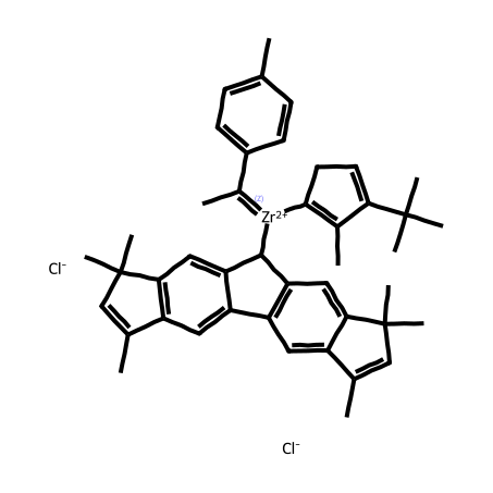 CC1=CC(C)(C)c2cc3c(cc21)-c1cc2c(cc1[CH]3/[Zr+2]([C]1=C(C)C(C(C)(C)C)=CC1)=[C](\C)c1ccc(C)cc1)C(C)(C)C=C2C.[Cl-].[Cl-]